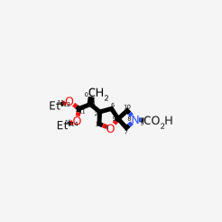 C=C(C1COC2(C1)CN(C(=O)O)C2)C(OCC)OCC